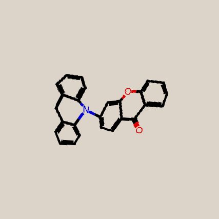 O=c1c2ccccc2oc2cc(N3c4ccccc4Cc4ccccc43)ccc12